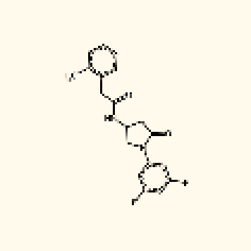 Cc1ccccc1CC(=O)NC1CC(=O)N(c2cc(F)cc(F)c2)C1